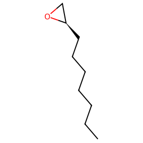 CCCCCCC[C@@H]1CO1